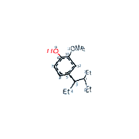 CCC(CC)C(CC)c1ccc(O)c(OC)c1